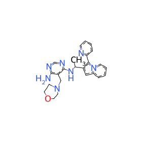 CC(Nc1ncnc(N)c1CN1CCOCC1)c1cc2ccccn2c1-c1ccccn1